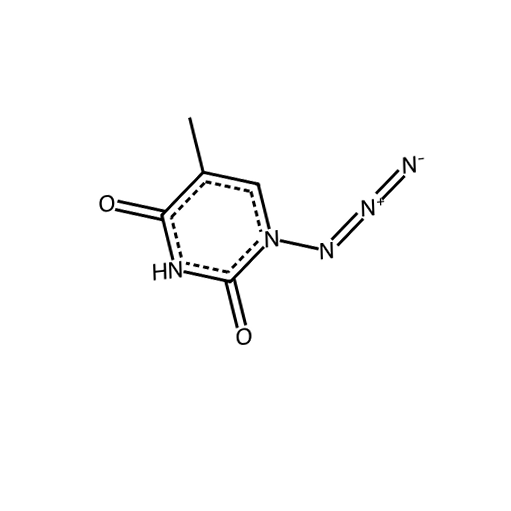 Cc1cn(N=[N+]=[N-])c(=O)[nH]c1=O